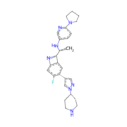 C=C(Nc1ccc(N2CCCC2)nc1)C1=Nc2cc(F)c(-c3cnn(C4CCNCC4)c3)cc21